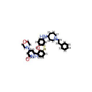 O=c1cc(N2CCOCC2)cc(-c2cccc3c2Oc2ccc(NC4CCCN(CCc5ccccc5)CC4)cc2S3)[nH]1